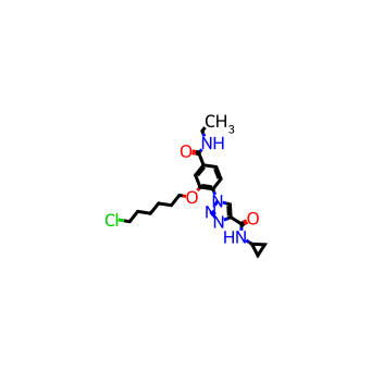 CCNC(=O)c1ccc(-n2cc(C(=O)NC3CC3)nn2)c(OCCCCCCCl)c1